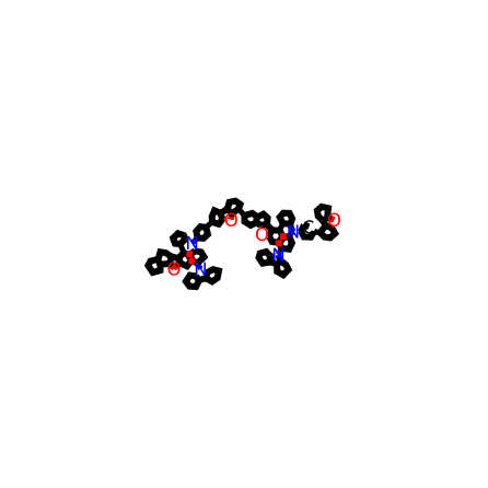 c1ccc(N(c2ccc(-c3ccc4c(c3)oc3c(-c5ccc6c(ccc7c6oc6cccc(-c8ccccc8N(c8ccc(-c9cccc%10oc%11ccccc%11c9%10)cc8)c8ccc(-n9c%10ccccc%10c%10ccccc%109)cc8)c67)c5)cccc34)cc2)c2ccc(-n3c4ccccc4c4ccccc43)cc2)c(-c2cccc3oc4c5ccccc5ccc4c23)c1